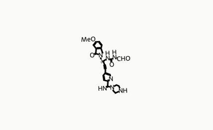 COc1ccc2c(c1)C(=O)N(C[C@@H](C#Cc1ccc(C(=N)N3CCNCC3)nc1)NC(=O)NC=O)C2